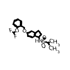 CC(C)S(=O)(=O)NC1CCc2cc(OCc3ccccc3OC(F)F)ccc21